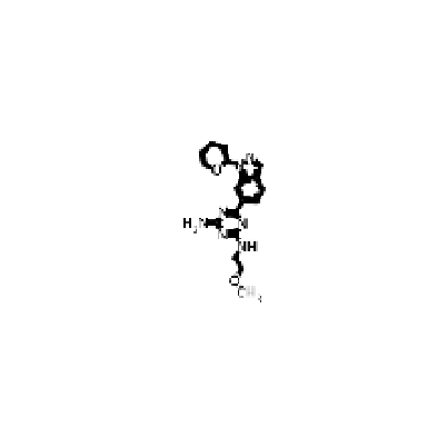 COCCNc1nc(N)nc(-c2ccc3cnn(C4CCCCO4)c3c2)n1